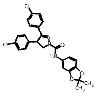 CC1(C)Oc2ccc(NC(=O)N3CC(c4ccc(Cl)cc4)C(c4ccc(Cl)cc4)=N3)cc2O1